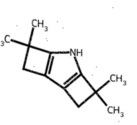 CC1(C)Cc2c1[nH]c1c2CC1(C)C